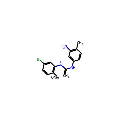 C=C(Nc1ccc(C)c(N)c1)Nc1cc(Br)ccc1OC